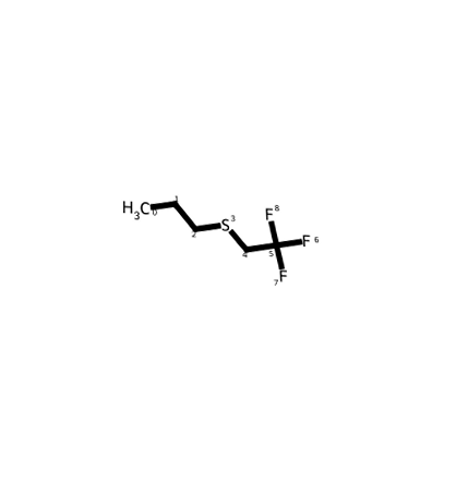 C[CH]CSCC(F)(F)F